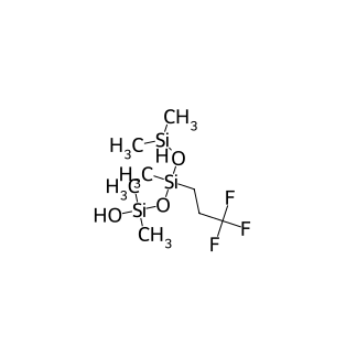 C[SiH](C)O[Si](C)(CCC(F)(F)F)O[Si](C)(C)O